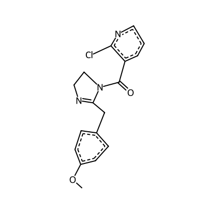 COc1ccc(CC2=NCCN2C(=O)c2cccnc2Cl)cc1